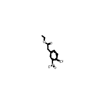 CCOC(=O)Cc1ccc(Cl)c([N+](=O)[O-])c1